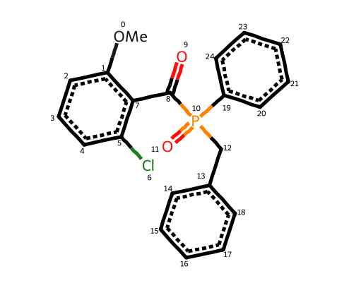 COc1cccc(Cl)c1C(=O)P(=O)(Cc1ccccc1)c1ccccc1